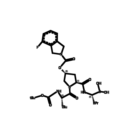 CCC[C@H](NC(=O)[C@@H]1C[C@@H](OC(=O)N2Cc3cccc(F)c3C2)CN1C(=O)[C@@H](NC(=O)OC(C)(C)C)C(C)(C)C)B(O)O